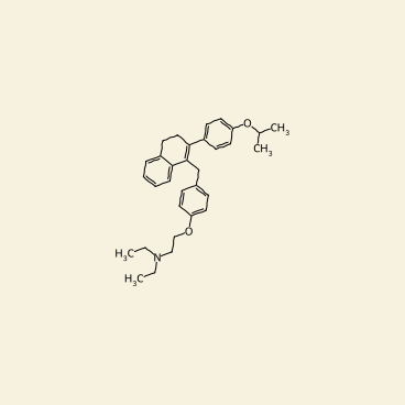 CCN(CC)CCOc1ccc(CC2=C(c3ccc(OC(C)C)cc3)CCc3ccccc32)cc1